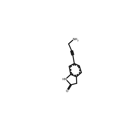 NCC#Cc1ccc2c(c1)NC(=O)C2